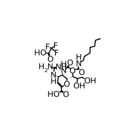 CCCCCCCNC(=O)OC(C(O)CO)[C@@H]1OC(C(=O)O)=C[C@H](NC(=N)N)[C@H]1NC(C)=O.O=C(O)C(F)(F)F